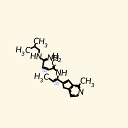 C=C(/C=C\C(=N)NCC(C)C)N/C(=C\C)C1=Cc2c(ccnc2C)C1